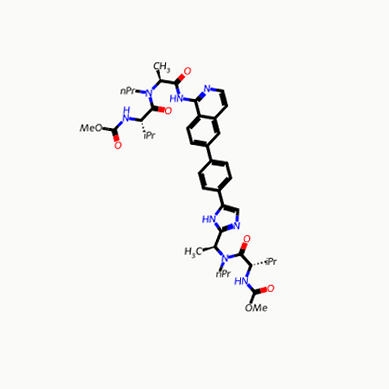 CCCN(C(=O)[C@@H](NC(=O)OC)C(C)C)[C@@H](C)C(=O)Nc1nccc2cc(-c3ccc(-c4cnc([C@H](C)N(CCC)C(=O)[C@@H](NC(=O)OC)C(C)C)[nH]4)cc3)ccc12